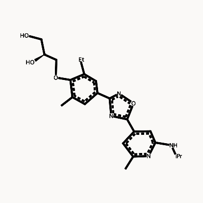 CCc1cc(-c2noc(-c3cc(C)nc(NC(C)C)c3)n2)cc(C)c1OC[C@@H](O)CO